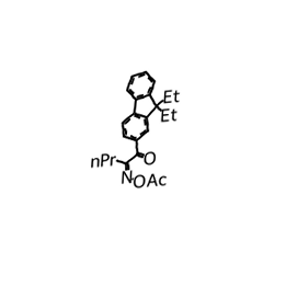 CCC/C(=N/OC(C)=O)C(=O)c1ccc2c(c1)C(CC)(CC)c1ccccc1-2